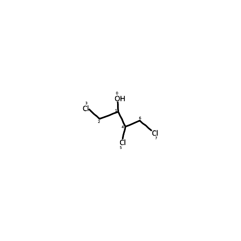 OC(CCl)C(Cl)CCl